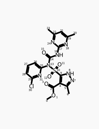 COC(=O)c1c(C)n[nH]c1S(=O)(=O)N(C(=O)Nc1nc(C)cc(C)n1)c1cccc(Cl)n1